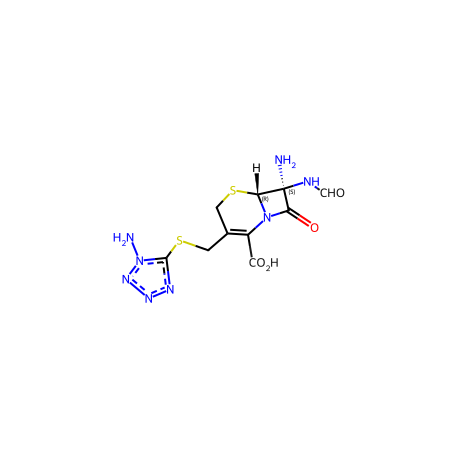 Nn1nnnc1SCC1=C(C(=O)O)N2C(=O)[C@](N)(NC=O)[C@H]2SC1